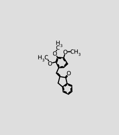 COc1ccc(C=C2Cc3ccccc3C2=O)c(OC)c1OC